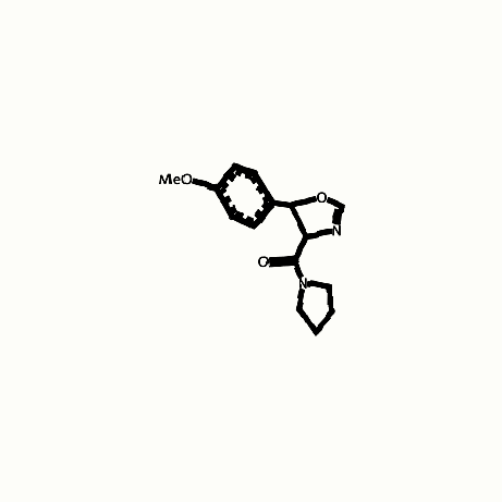 COc1ccc(C2OC=NC2C(=O)N2CCCC2)cc1